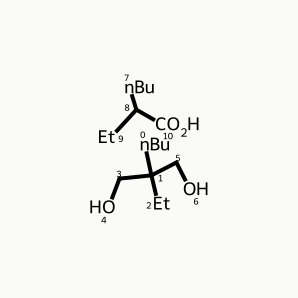 CCCCC(CC)(CO)CO.CCCCC(CC)C(=O)O